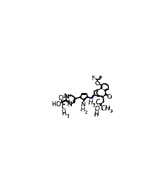 CC(C)(O)CC1C(=O)c2cccc(OC(F)F)c2C2C/C(=C\C3=C(N)C(c4cnc(C(C)(C)O)nc4)C=C3)C1C2